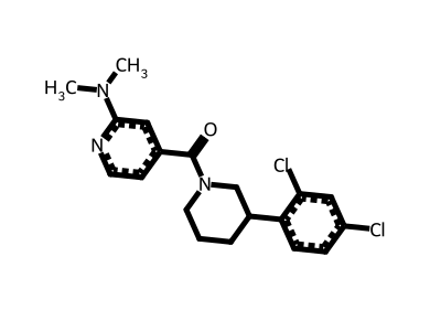 CN(C)c1cc(C(=O)N2CCCC(c3ccc(Cl)cc3Cl)C2)ccn1